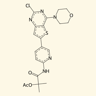 CC(=O)OC(C)(C)C(=O)Nc1ccc(-c2cc3nc(Cl)nc(N4CCOCC4)c3s2)cn1